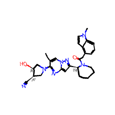 Cc1cn2nc([C@@H]3CCCCN3C(=O)c3cccc4c3ccn4C)cc2nc1N1C[C@@H](C#N)[C@@H](O)C1